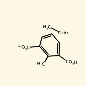 CCCCCCC.Cc1c(C(=O)O)cccc1C(=O)O